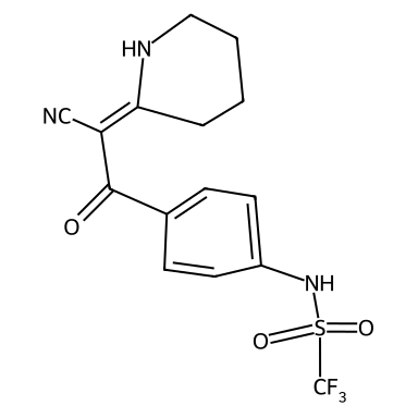 N#CC(C(=O)c1ccc(NS(=O)(=O)C(F)(F)F)cc1)=C1CCCCN1